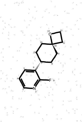 Fc1ncccc1[C@H]1CC[C@@]2(CCO2)CC1